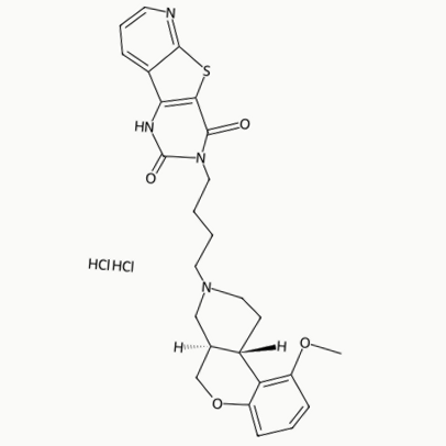 COc1cccc2c1[C@H]1CCN(CCCCn3c(=O)[nH]c4c(sc5ncccc54)c3=O)C[C@@H]1CO2.Cl.Cl